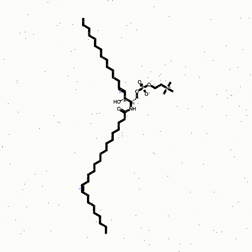 CCCCCCCC/C=C\CCCCCCCCCCCCCC(=O)N[C@@H](COP(=O)([O-])OCC[N+](C)(C)C)[C@H](O)/C=C/CCCCCCCCCCCCC